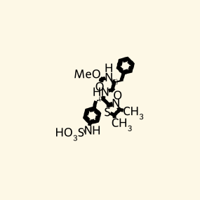 COC(=O)N[C@@H](Cc1ccccc1)C(=O)N[C@@H](Cc1ccc(NS(=O)(=O)O)cc1)C1=NC(C)C(C)S1